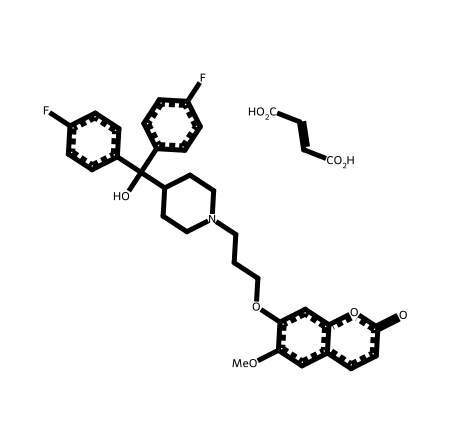 COc1cc2ccc(=O)oc2cc1OCCCN1CCC(C(O)(c2ccc(F)cc2)c2ccc(F)cc2)CC1.O=C(O)C=CC(=O)O